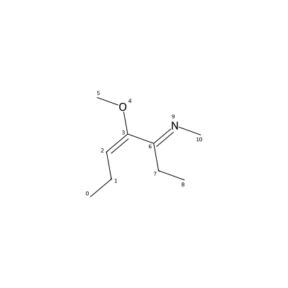 CC/C=C(OC)\C(CC)=N\C